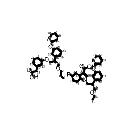 CCCO/N=C(\COc1cccc(CC(=O)O)c1)c1cccc(Oc2ccccn2)c1.CCO/N=C(\Cn1cc(C(=O)O)c2cc(F)ccc21)c1cccc(Oc2ccccn2)c1